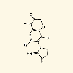 CN1C(=O)COc2c1cc(Br)c(N1CCNC1=N)c2Br